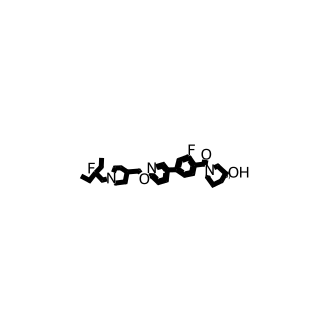 CCC(F)(CC)CN1CCC(COc2ccc(-c3ccc(C(=O)N4CCC[C@H](O)C4)c(F)c3)cn2)CC1